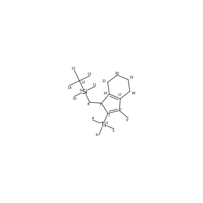 CC1=[C]([Ti]([CH3])([CH3])[CH3])C(C[Si](C)(C)C(C)(C)C)C2=C1CCCC2